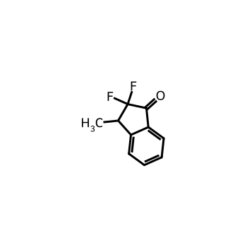 CC1c2ccccc2C(=O)C1(F)F